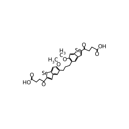 COc1cc2[se]c(C(=O)CCC(=O)O)cc2cc1CCCc1cc2cc(C(=O)CCC(=O)O)[se]c2cc1OC